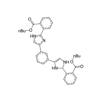 CCCCOC(=O)c1ccccc1-c1nc(-c2cccc(C3=CNC(c4ccccc4C(=O)OCCCC)N3)c2)c[nH]1